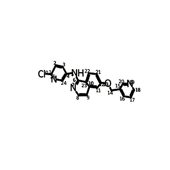 Clc1ccc(Nc2nccc3cc(OCc4cccnc4)ccc23)cn1